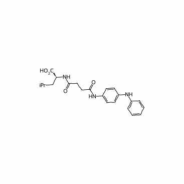 CC(C)C[C@H](NC(=O)CCC(=O)Nc1ccc(Nc2ccccc2)cc1)C(=O)O